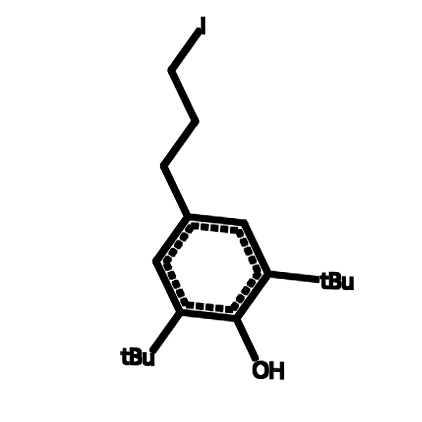 CC(C)(C)c1cc(CCCI)cc(C(C)(C)C)c1O